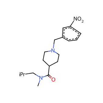 CC(C)CN(C)C(=O)C1CCN(Cc2cccc([N+](=O)[O-])c2)CC1